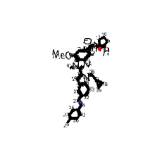 COc1cc(C(=O)N2C[C@H]3CCC2[C@H]3N)cc2nc(-c3cc4cc(/C=C/c5ccc(C)cc5)ccc4n3CC3CC3)n(C)c12